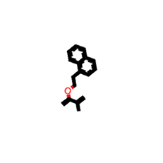 C=C(C)C(=C)OCCc1cccc2ccccc12